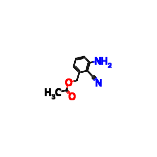 CC(=O)OCc1cccc(N)c1C#N